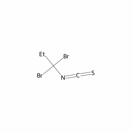 CCC(Br)(Br)N=C=S